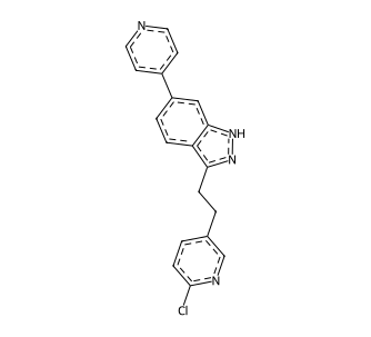 Clc1ccc(CCc2n[nH]c3cc(-c4ccncc4)ccc23)cn1